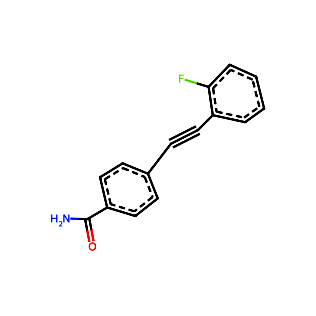 NC(=O)c1ccc(C#Cc2ccccc2F)cc1